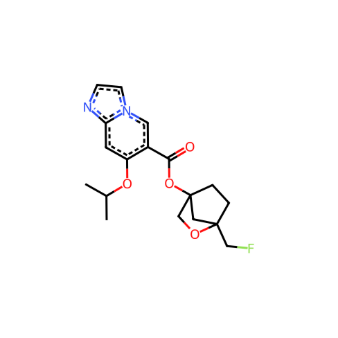 CC(C)Oc1cc2nccn2cc1C(=O)OC12CCC(CF)(C1)OC2